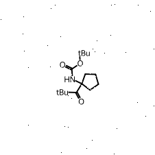 CC(C)(C)OC(=O)NC1(C(=O)C(C)(C)C)CCCC1